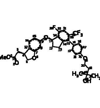 COC(=O)C[C@@H]1COc2cc(O[C@@H]3CCc4c(-c5ccc(OCCC(C)(C)O)cc5)c(C(F)(F)F)cc(F)c43)ccc21